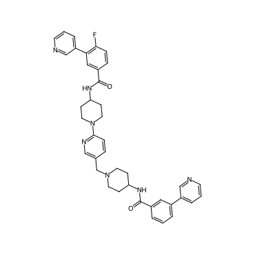 O=C(NC1CCN(Cc2ccc(N3CCC(NC(=O)c4ccc(F)c(-c5cccnc5)c4)CC3)nc2)CC1)c1cccc(-c2cccnc2)c1